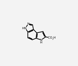 O=C(O)c1cc2c(ccc3[nH]ncc32)[nH]1